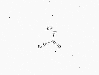 O=S([O-])[O-].[Fe].[Zn+2]